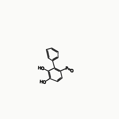 O=Pc1ccc(O)c(O)c1-c1ccccc1